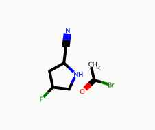 CC(=O)Br.N#CC1CC(F)CN1